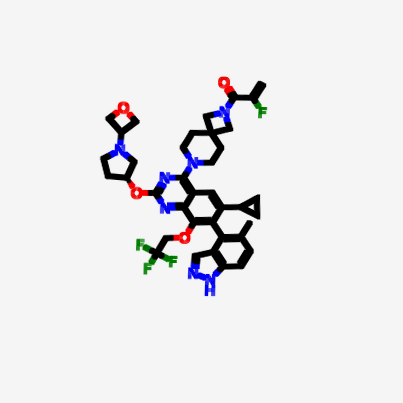 C=C(F)C(=O)N1CC2(CCN(c3nc(O[C@H]4CCN(C5COC5)C4)nc4c(OCC(F)(F)F)c(-c5c(C)ccc6[nH]ncc56)c(C5CC5)cc34)CC2)C1